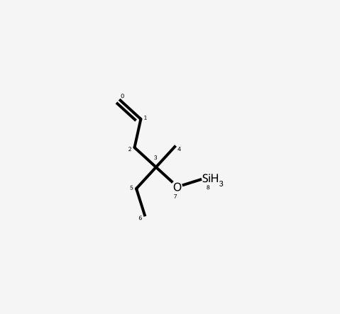 C=CCC(C)(CC)O[SiH3]